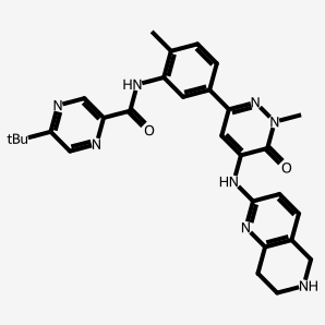 Cc1ccc(-c2cc(Nc3ccc4c(n3)CCNC4)c(=O)n(C)n2)cc1NC(=O)c1cnc(C(C)(C)C)cn1